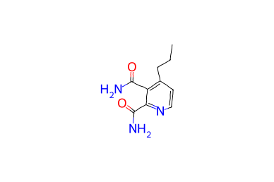 CCCc1ccnc(C(N)=O)c1C(N)=O